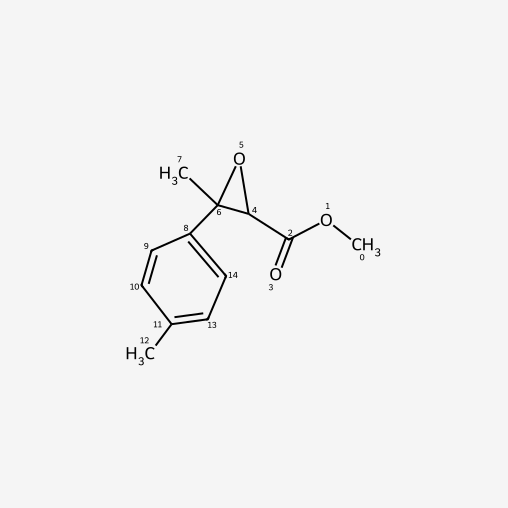 COC(=O)C1OC1(C)c1ccc(C)cc1